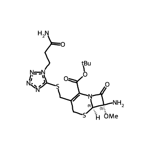 CO[C@@]1(N)C(=O)N2C(C(=O)OC(C)(C)C)=C(CSc3nnnn3CCC(N)=O)CS[C@@H]21